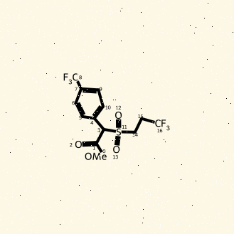 COC(=O)C(c1ccc(C(F)(F)F)cc1)S(=O)(=O)CCC(F)(F)F